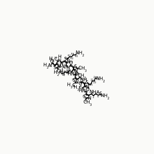 CC(=O)N[C@@H](CCCCN)c1nc(C)sc1C(=O)N[C@@H](C)c1nc(CCCCN)sc1C(=O)N[C@@H](C)c1nc(C)sc1C(=O)N[C@@H](CCCCN)c1nc(C)sc1C(=O)N[C@@H](C)c1nc(CCCCN)sc1C(=O)N[C@@H](C)c1nc(C)sc1C(N)=O